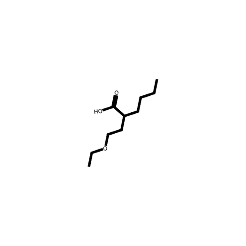 CCCCC(CCOCC)C(=O)O